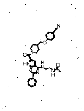 CC(=O)NCCNc1nc(-c2ccccc2)nc2[nH]c(C(=O)N3CCC(COc4ccc(C#N)cc4)CC3)cc12